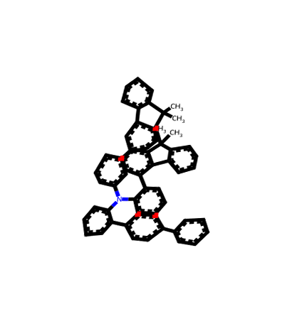 CC1(C)c2ccccc2-c2cc(-c3cccc(N(c4ccccc4-c4ccc(-c5ccccc5)cc4)c4ccccc4-c4cccc5c4-c4ccccc4C5(C)C)c3)ccc21